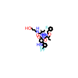 CCC(C)[C@H](NC(=O)Cc1ccccc1F)C(=O)N[C@]1(C(=O)NC(C(=O)NCCCCO)[C@@H](C)CC)CCc2[nH]c3c(C(F)(F)F)cccc3c2C1